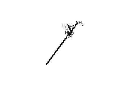 CCCCCCCCCCCCCCCCCCCCCCCCCCCCNCC(=O)NC(=O)C(CCCNCCCN)NCCCN